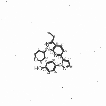 CCc1nn(C2CCOCC2)c2nc(-c3ccnn3-c3ccc(O)cc3)ccc12